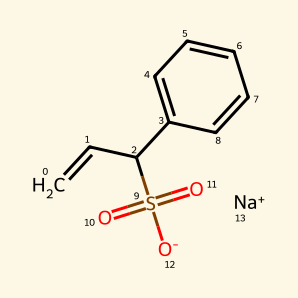 C=CC(c1ccccc1)S(=O)(=O)[O-].[Na+]